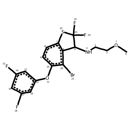 COCCNC1c2c(ccc(Oc3cc(F)cc(F)c3)c2Br)SC1(F)F